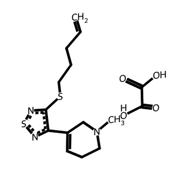 C=CCCCSc1nsnc1C1=CCCN(C)C1.O=C(O)C(=O)O